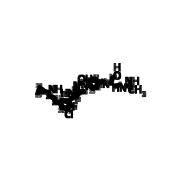 CC(=N)NCC[C@H](CO)NCc1ccc(N2C=c3cc(-c4cc(CCC[C@@H](N)C5CC5)cc(Cl)c4F)[nH]c3=NC2O)cc1